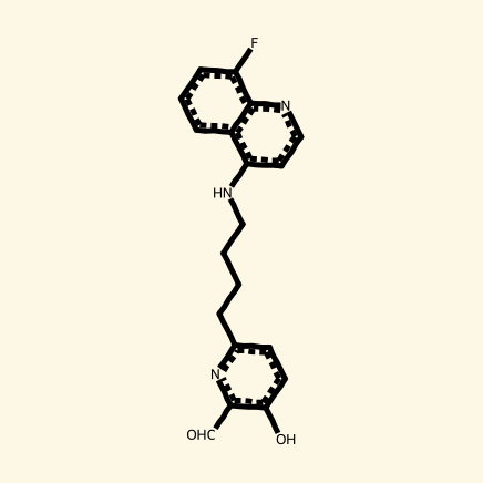 O=Cc1nc(CCCCNc2ccnc3c(F)cccc23)ccc1O